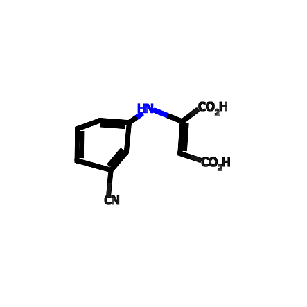 N#Cc1cccc(NC(=CC(=O)O)C(=O)O)c1